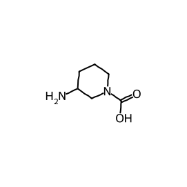 NC1CCCN(C(=O)O)C1